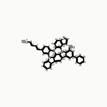 CC(C)(C)/C=C/C=C/c1ccc2c(c1)-n1c3ccccc3c3cc4c5cc(-c6ccccc6)cc(C(C)(C)C)c5n5c4c(c31)B2c1ccc2sccc2c1-5